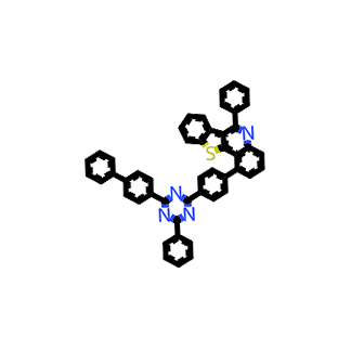 c1ccc(-c2ccc(-c3nc(-c4ccccc4)nc(-c4ccc(-c5cccc6nc(-c7ccccc7)c7c8ccccc8sc7c56)cc4)n3)cc2)cc1